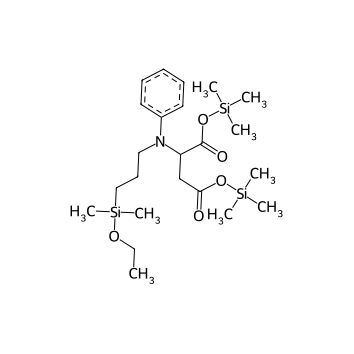 CCO[Si](C)(C)CCCN(c1ccccc1)C(CC(=O)O[Si](C)(C)C)C(=O)O[Si](C)(C)C